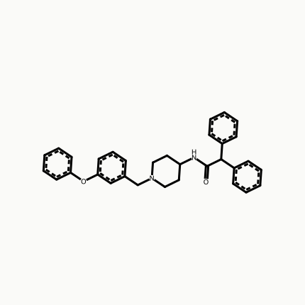 O=C(NC1CCN(Cc2cccc(Oc3ccccc3)c2)CC1)C(c1ccccc1)c1ccccc1